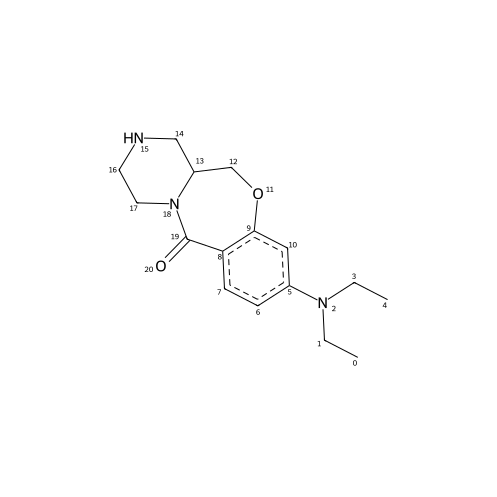 CCN(CC)c1ccc2c(c1)OCC1CNCCN1C2=O